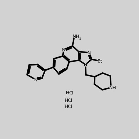 CCc1nc2c(N)nc3cc(-c4cccnc4)ccc3c2n1CC1CCNCC1.Cl.Cl.Cl